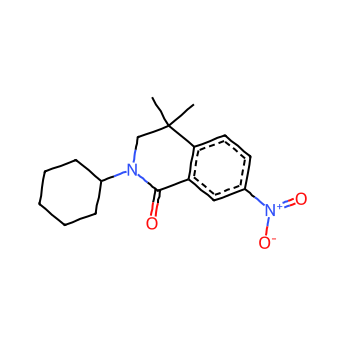 CC1(C)CN(C2CCCCC2)C(=O)c2cc([N+](=O)[O-])ccc21